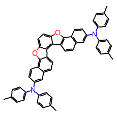 Cc1ccc(N(c2ccc(C)cc2)c2ccc3c(ccc4c3oc3ccc5oc6c7ccc(N(c8ccc(C)cc8)c8ccc(C)cc8)cc7ccc6c5c34)c2)cc1